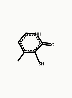 Cc1cc[nH]c(=O)c1S